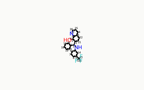 Oc1c(C(Nc2cccc(C(F)(F)F)c2)c2ccccc2)ccc2cccnc12